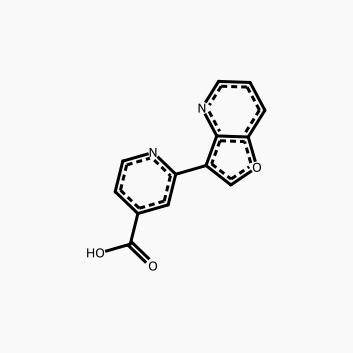 O=C(O)c1ccnc(-c2coc3cccnc23)c1